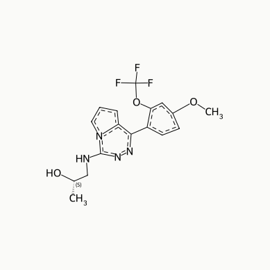 COc1ccc(-c2nnc(NC[C@H](C)O)n3cccc23)c(OC(F)(F)F)c1